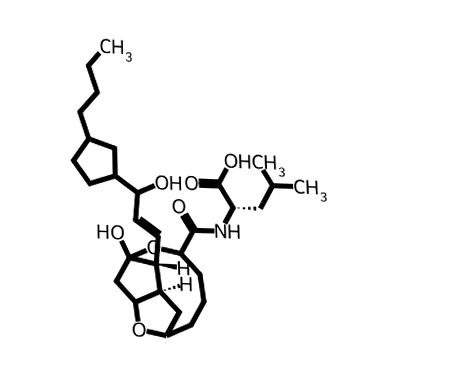 CCCCC1CCC(C(O)/C=C/[C@@H]2[C@H]3CC4CCCC(C(=O)N[C@@H](CC(C)C)C(=O)O)OC2(O)CC3O4)C1